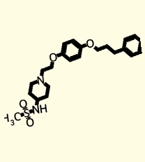 CS(=O)(=O)NC1CCN(CCOc2ccc(OCCCc3ccccc3)cc2)CC1